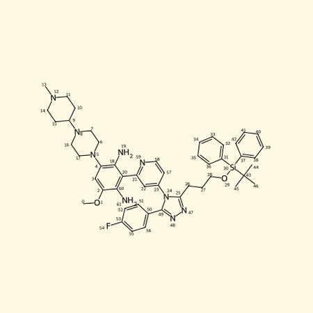 COc1cc(N2CCN(C3CCN(C)CC3)CC2)c(N)c(-c2cc(-n3c(CCCO[Si](c4ccccc4)(c4ccccc4)C(C)(C)C)nnc3-c3ccc(F)cc3)ccn2)c1N